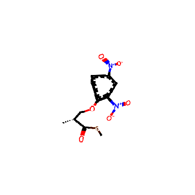 CSC(=O)[C@H](C)COc1ccc([N+](=O)[O-])cc1[N+](=O)[O-]